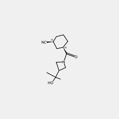 CC(C)(O)C1CN(C(=O)[C@@H]2CCC[C@H](C#N)C2)C1